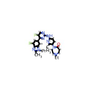 CCN1CCC(=O)N(c2ccc(Nc3ncc(F)c(-c4cc(F)c5nc(C)n(C(C)C)c5c4)n3)nc2C)CC1